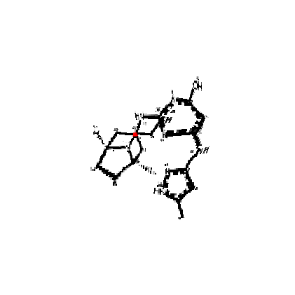 Cc1cc(Nc2cc(O)nc(NC3C[C@H]4CC[C@@H](C3)N4CCC#N)n2)n[nH]1